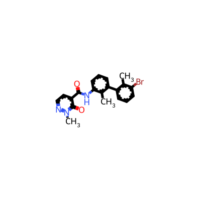 Cc1c(Br)cccc1-c1cccc(NC(=O)c2ccnn(C)c2=O)c1C